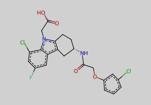 O=C(O)Cn1c2c(c3cc(F)cc(Cl)c31)C[C@@H](NC(=O)COc1cccc(Cl)c1)CC2